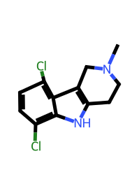 CN1CCc2[nH]c3c(Cl)ccc(Cl)c3c2C1